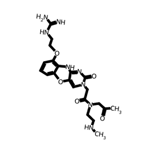 CNCCN(CC(C)=O)C(=O)Cn1cc2c(nc1=O)Nc1c(OCCNC(=N)N)cccc1O2